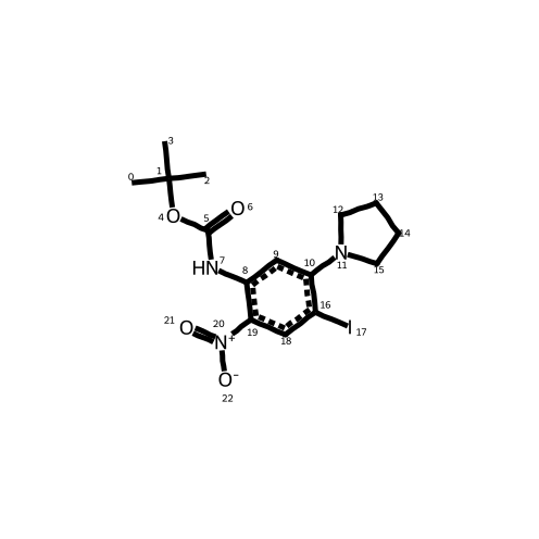 CC(C)(C)OC(=O)Nc1cc(N2CCCC2)c(I)cc1[N+](=O)[O-]